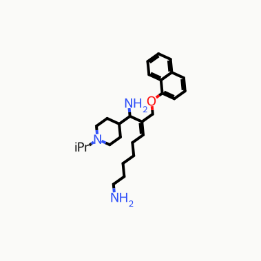 CC(C)N1CCC(C(N)C(=CCCCCCN)COc2cccc3ccccc23)CC1